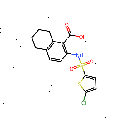 O=C(O)c1c(NS(=O)(=O)c2ccc(Cl)s2)ccc2c1CCCC2